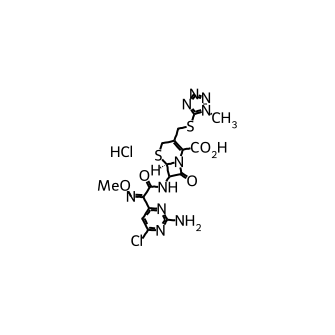 CO/N=C(\C(=O)NC1C(=O)N2C(C(=O)O)=C(CSc3nnnn3C)CS[C@H]12)c1cc(Cl)nc(N)n1.Cl